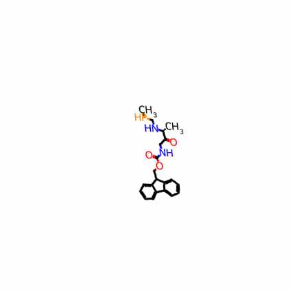 CPCN[C@@H](C)C(=O)CNC(=O)OCC1c2ccccc2-c2ccccc21